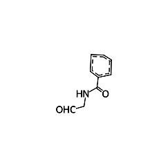 O=CCNC(=O)c1ccccc1